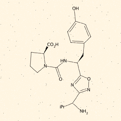 CC(C)C(N)c1noc([C@H](Cc2ccc(O)cc2)NC(=O)N2CCC[C@H]2C(=O)O)n1